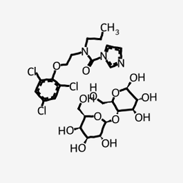 CCCN(CCOc1c(Cl)cc(Cl)cc1Cl)C(=O)n1ccnc1.OC[C@H]1O[C@@H](O[C@H]2[C@H](O)[C@@H](O)[C@H](O)O[C@@H]2CO)[C@H](O)[C@@H](O)[C@H]1O